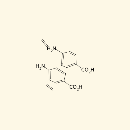 C=C.C=C.Nc1ccc(C(=O)O)cc1.Nc1ccc(C(=O)O)cc1